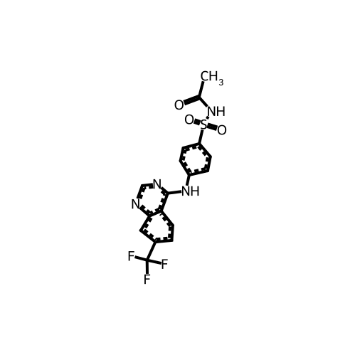 CC(=O)NS(=O)(=O)c1ccc(Nc2ncnc3cc(C(F)(F)F)ccc23)cc1